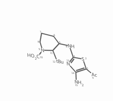 CC(=O)c1sc(NC2CCCN(C(=O)O)C2C(C)(C)C)nc1N